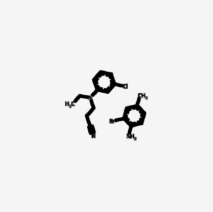 CCN(CCC#N)c1cccc(Cl)c1.Cc1ccc(N)c(Br)c1